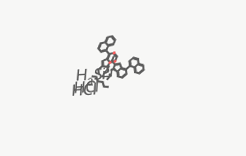 CCC1=Cc2c(-c3cccc4ccccc34)cccc2[CH]1[Zr]([SiH3])([CH2]C)[CH]1C(CC)=Cc2c(-c3cccc4ccccc34)cccc21.CCCCCC.Cl.Cl